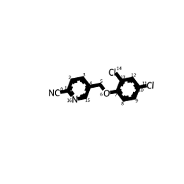 N#Cc1ccc(COc2ccc(Cl)cc2Cl)cn1